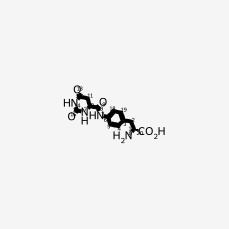 N[C@@H](Cc1ccc(NC(=O)C2CC(=O)NC(=O)N2)cc1)C(=O)O